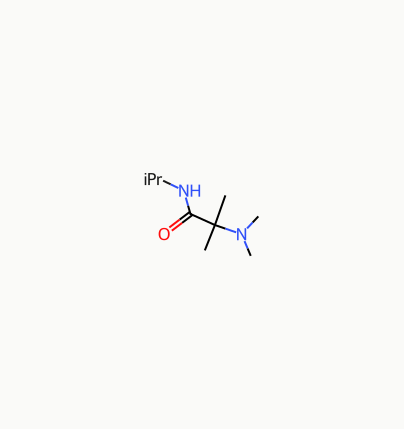 CC(C)NC(=O)C(C)(C)N(C)C